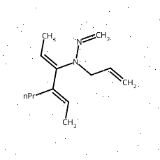 C=CCN(N=C)C(=C\C)/C(=C/C)CCC